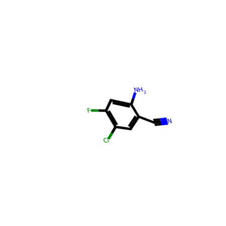 N#Cc1cc(Cl)c(F)cc1N